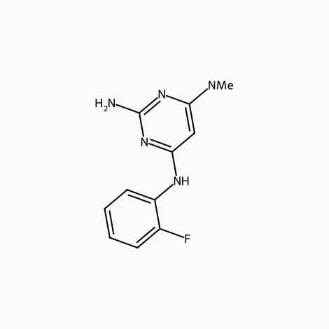 CNc1cc(Nc2ccccc2F)nc(N)n1